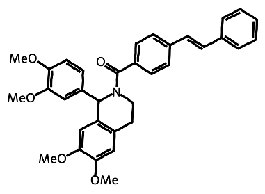 COc1ccc(C2c3cc(OC)c(OC)cc3CCN2C(=O)c2ccc(C=Cc3ccccc3)cc2)cc1OC